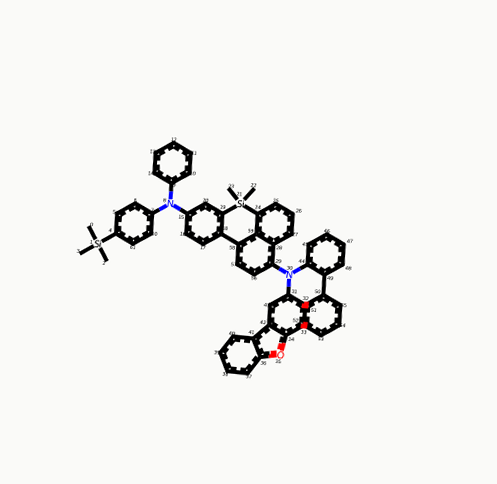 C[Si](C)(C)c1ccc(N(c2ccccc2)c2ccc3c(c2)[Si](C)(C)c2cccc4c(N(c5ccc6oc7ccccc7c6c5)c5ccccc5-c5ccccc5)ccc-3c24)cc1